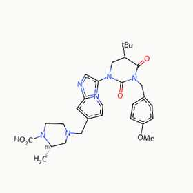 COc1ccc(CN2C(=O)C(C(C)(C)C)CN(c3cnc4cc(CN5CCN(C(=O)O)[C@@H](C)C5)ccn34)C2=O)cc1